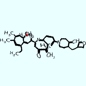 C=C1CC(/C=C\C(=C/C)N2CCC(=C)C(CC3COC3)CC2)=NC(C(/C=C2/C(CC)=C=C(C)C(C)=CC2C)=N/C)=CC1=O